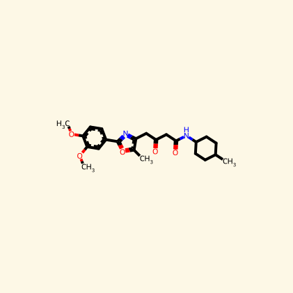 COc1ccc(-c2nc(CC(=O)CC(=O)NC3CCC(C)CC3)c(C)o2)cc1OC